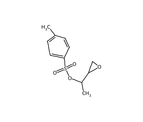 Cc1ccc(S(=O)(=O)OC(C)C2CO2)cc1